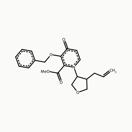 C=CCC1COCC1n1ccc(=O)c(OCc2ccccc2)c1C(=O)OC